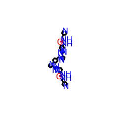 O=C(NCc1ccncc1)Nc1ccc2nc(-c3cccn3-c3ccc(Cn4nccc4-c4nc5ccc(NC(=O)NCc6ccncc6)cn5n4)cc3)nn2c1